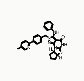 O=C1NC2=N[C@@H]3CCC[C@@H]3N2c2nn(Cc3ccc(-c4ccc(I)cn4)cc3)c(Nc3ccccc3)c21